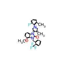 COc1cccc2c1n(Cc1ccccc1C(F)(F)F)c(=O)n2[C@H]1CN(c2c(C)cccc2F)C[C@H]1C